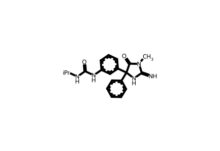 CC(C)NC(=O)Nc1cccc(C2(c3ccccc3)NC(=N)N(C)C2=O)c1